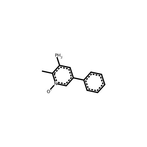 Cc1c(P)cc(-c2ccccc2)c[n+]1[O-]